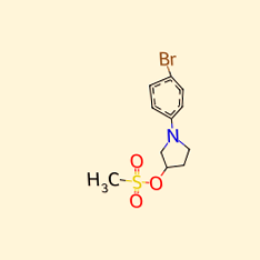 CS(=O)(=O)OC1CCN(c2ccc(Br)cc2)C1